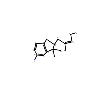 CC/C=C(/C)CC1Cc2ccc(I)cc2C1(C)C